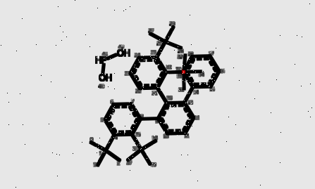 CC(C)(C)c1cccc(-c2cccc(-c3ccccc3)c2-c2cccc(C(C)(C)C)c2C(C)(C)C)c1C(C)(C)C.OPO